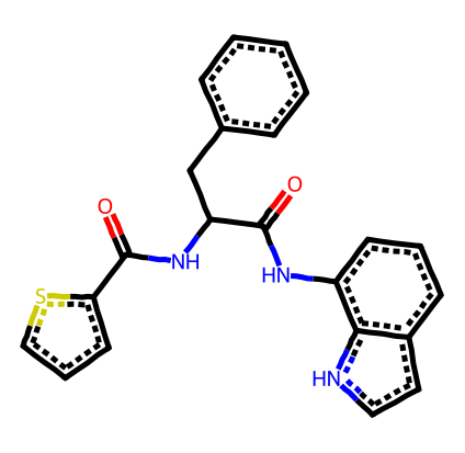 O=C(NC(Cc1ccccc1)C(=O)Nc1cccc2cc[nH]c12)c1cccs1